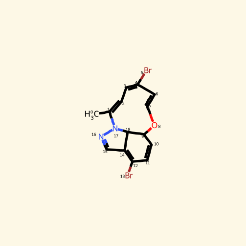 C\C1=C/C=C(Br)\C=C\OC2C=CC(Br)=C3C=NN1C32